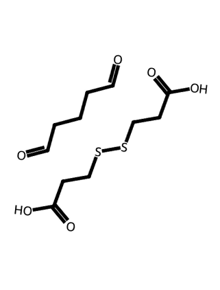 O=C(O)CCSSCCC(=O)O.O=CCCCC=O